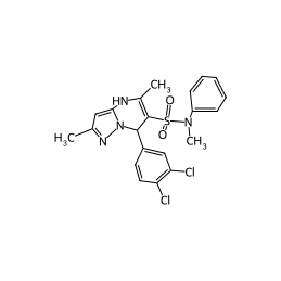 CC1=C(S(=O)(=O)N(C)c2ccccc2)C(c2ccc(Cl)c(Cl)c2)n2nc(C)cc2N1